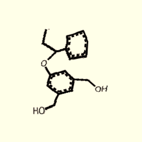 [CH2]CC(Oc1cc(CO)cc(CO)c1)c1ccccc1